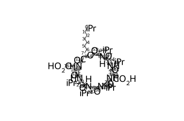 CC(C)CCCCCCC[C@H]1CC(=O)N[C@H](CCC(=O)O)C(=O)N[C@H](CC(C)C)C(=O)N[C@@H](CC(C)C)C(=O)N[C@H](C(C)C)C(=O)N[C@H](CC(=O)O)C(=O)N[C@@H](CC(C)C)C(=O)N[C@H](CC(C)C)C(=O)O1